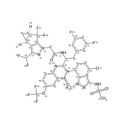 Cn1nc(NS(C)(=O)=O)c2c(Cl)ccc(-n3c(C(Cc4cc(F)cc(F)c4)NC(=O)Cn4nc(C(F)F)c5c4C(F)(F)[C@@H]4C[C@H]54)nc4ccc(OC(F)(F)F)cc4c3=O)c21